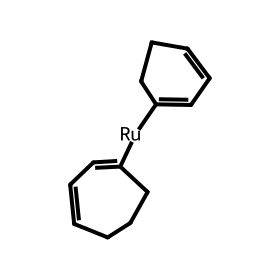 C1=CCCC[C]([Ru][C]2=CC=CCC2)=C1